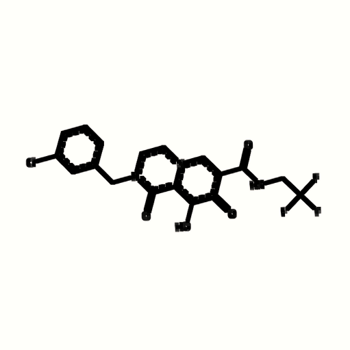 O=C(NCC(F)(F)F)c1cn2ccn(Cc3cccc(Cl)c3)c(=O)c2c(O)c1=O